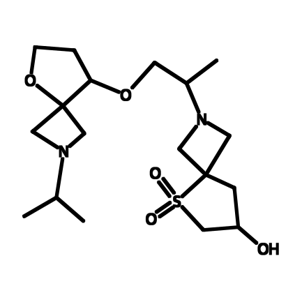 CC(C)N1CC2(C1)OCCC2OCC(C)N1CC2(CC(O)CS2(=O)=O)C1